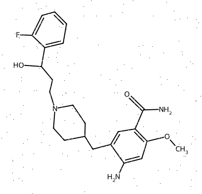 COc1cc(N)c(CC2CCN(CCC(O)c3ccccc3F)CC2)cc1C(N)=O